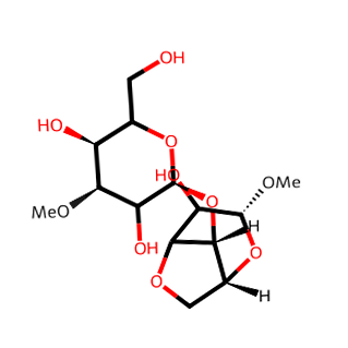 CO[C@@H]1O[C@@H]2COC(C1O)[C@@H]2O[C@@H]1OC(CO)[C@H](O)[C@H](OC)C1O